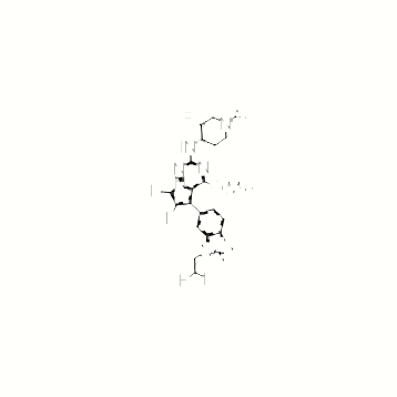 [2H]c1c(F)c(-c2ccc3nnn(CC(F)F)c3c2)c2c(OC)nc(N[C@H]3CCN(C(C)=O)C[C@H]3F)nn12